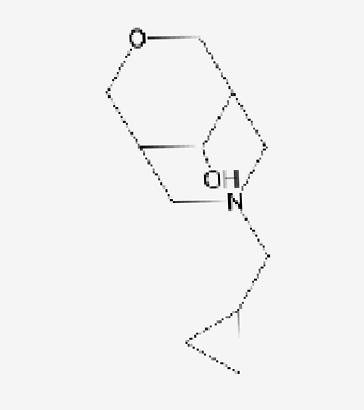 OC1C2COCC1CN(CC1CC1)C2